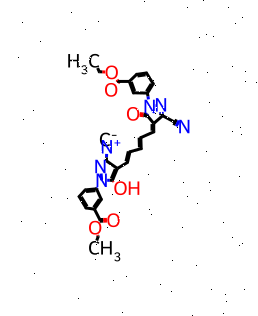 [C-]#[N+]c1nn(-c2cccc(C(=O)OCC)c2)c(O)c1/C=C/C=C/C=C1\C(=O)N(c2cccc(C(=O)OCC)c2)N=C1C#N